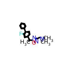 CC(c1ccc(-c2ccccc2)c(F)c1)c1nc(CN(C)C)no1